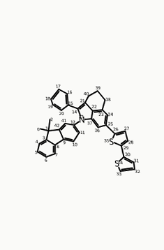 CC1(C)c2ccccc2-c2ccc(-n3c(-c4ccccc4)c4c5c(cc(-c6ccc(-c7cccs7)s6)cc53)CCC4)cc21